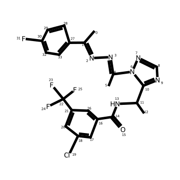 C/C(=N\N=C(/C)n1ncnc1C(C)NC(=O)c1cc(Cl)cc(C(F)(F)F)c1)c1ccc(F)cc1